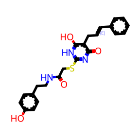 O=C(CSc1nc(=O)c(C/C=C/c2ccccc2)c(O)[nH]1)NCCc1ccc(O)cc1